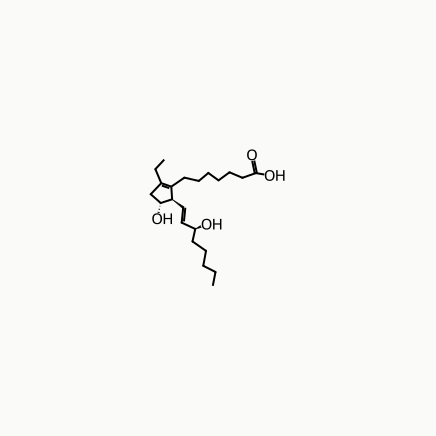 CCCCC[C@H](O)/C=C/[C@@H]1C(CCCCCCC(=O)O)=C(CC)C[C@H]1O